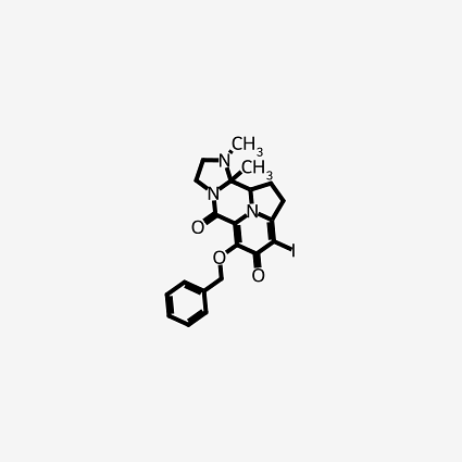 CN1CCN2C(=O)c3c(OCc4ccccc4)c(=O)c(I)c4n3C(CC4)C12C